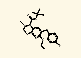 CCOc1nc2c(cc1Cc1ccc(F)cc1)N(C(=O)OC(C)(C)C)[C@@H](C)CO2